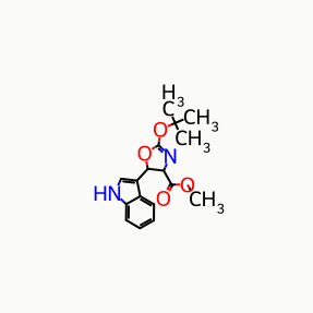 COC(=O)C1N=C(OC(C)(C)C)OC1c1c[nH]c2ccccc12